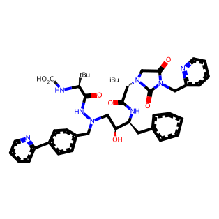 CC[C@H](C)[C@@H](C(=O)N[C@@H](Cc1ccccc1)[C@@H](O)CN(Cc1ccc(-c2ccccn2)cc1)NC(=O)[C@@H](NC(=O)O)C(C)(C)C)N1CC(=O)N(Cc2ccccn2)C1=O